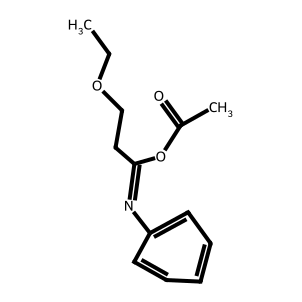 CCOCCC(=Nc1ccccc1)OC(C)=O